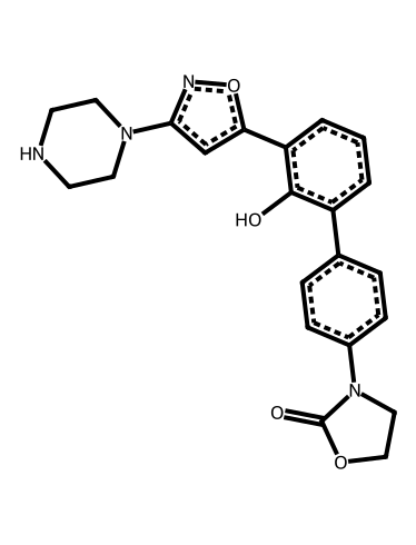 O=C1OCCN1c1ccc(-c2cccc(-c3cc(N4CCNCC4)no3)c2O)cc1